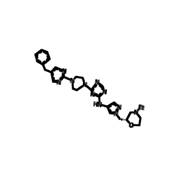 CCN1CCO[C@H](Cn2cc(Nc3ncnc(N4CCN(c5ncc(Cc6ccccc6)cn5)CC4)n3)cn2)C1